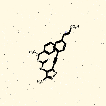 Cc1noc(C#Cc2ccc(/C=C/C(=O)O)cc2)c1NC(=O)O[C@H](C)c1ccccc1